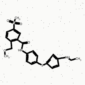 CCNc1ccc(Sc2ccc(NC(=O)c3cc(S(C)(=O)=O)ccc3COC)cc2)cc1